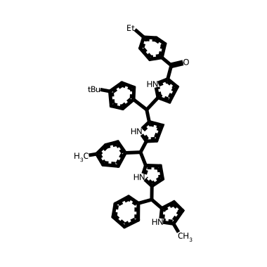 CCc1ccc(C(=O)c2ccc(C(c3ccc(C(C)(C)C)cc3)c3ccc(C(c4ccc(C)cc4)c4ccc(C(c5ccccc5)c5ccc(C)[nH]5)[nH]4)[nH]3)[nH]2)cc1